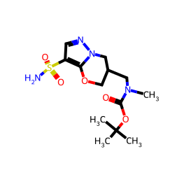 CN(CC1COc2c(S(N)(=O)=O)cnn2C1)C(=O)OC(C)(C)C